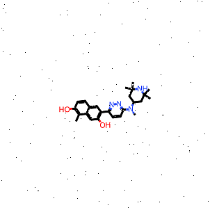 Cc1c(O)ccc2cc(-c3ccc(N(C)C4CC(C)(C)NC(C)(C)C4)nn3)c(O)cc12